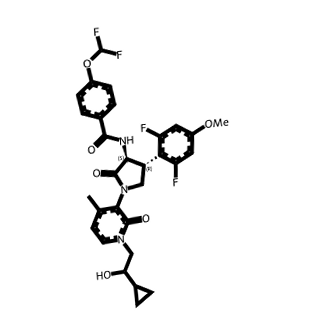 COc1cc(F)c([C@@H]2CN(c3c(C)ccn(CC(O)C4CC4)c3=O)C(=O)[C@H]2NC(=O)c2ccc(OC(F)F)cc2)c(F)c1